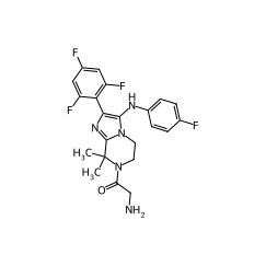 CC1(C)c2nc(-c3c(F)cc(F)cc3F)c(Nc3ccc(F)cc3)n2CCN1C(=O)CN